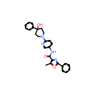 Cc1oc(-c2ccccc2)nc1C(=O)Nc1ccc(N2CCC(O)(c3ccccc3)CC2)nc1